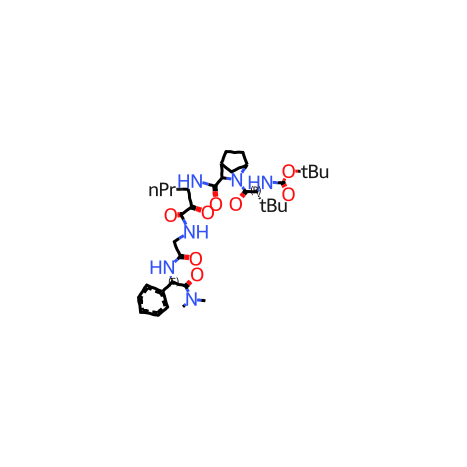 CCCC(NC(=O)C1C2CCC(C2)N1C(=O)[C@H](NC(=O)OC(C)(C)C)C(C)(C)C)C(=O)C(=O)NCC(=O)N[C@H](C(=O)N(C)C)c1ccccc1